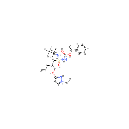 C=CC[C@H](COc1ccn(CC)n1)C[S@@](=O)(=N[Si](C)(C)C(C)(C)C)NC(=O)O[C@@H](C)c1ccccc1